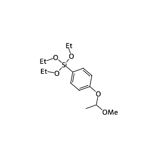 CCO[Si](OCC)(OCC)c1ccc(OC(C)OC)cc1